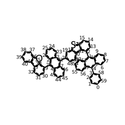 c1ccc(-c2c3ccccc3c(-c3cccc4sc5cc(-c6c7ccccc7c(-c7cccc8c7oc7ccccc78)c7ccccc67)ccc5c34)c3ccccc23)cc1